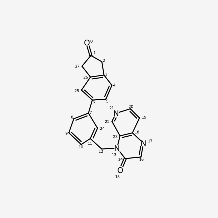 O=C1Cc2ccc(-c3cccc(Cn4c(=O)cnc5ccncc54)c3)cc2C1